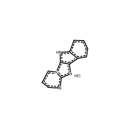 Cl.c1ccc2c(c1)[nH]c1c2nc2ncccn21